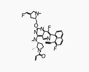 C#Cc1c(F)ccc2cccc(-c3ncc4c(N(C)[C@@H]5CCN(C(=O)C=C)[C@@H]5C)nc(OC[C@H]5C/C(=C\F)CN5C)nc4c3F)c12